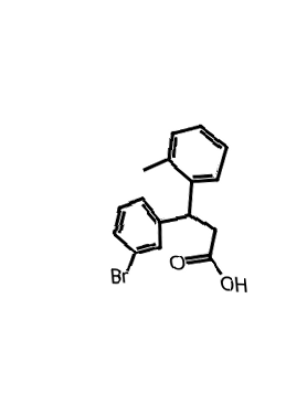 Cc1ccccc1C(CC(=O)O)c1cccc(Br)c1